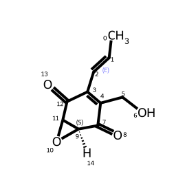 C/C=C/C1=C(CO)C(=O)[C@H]2OC2C1=O